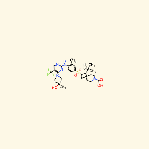 Cc1cc(S(=O)(=O)C2CC3(CCN(C(=O)O)CC3)C2C(C)(C)C)ccc1Nc1ncc(C(F)(F)F)c(N2CCC(C)(O)CC2)n1